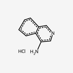 Cl.Nc1cncc2ccccc12